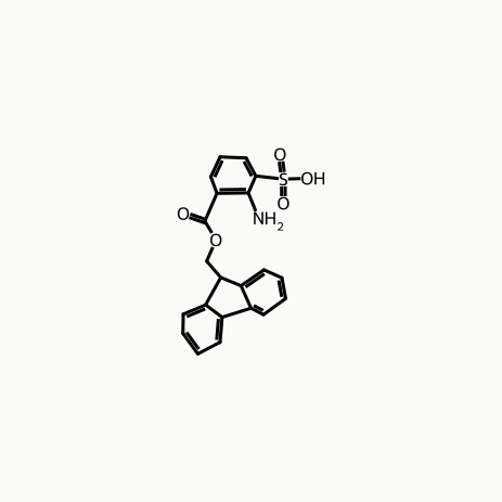 Nc1c(C(=O)OCC2c3ccccc3-c3ccccc32)cccc1S(=O)(=O)O